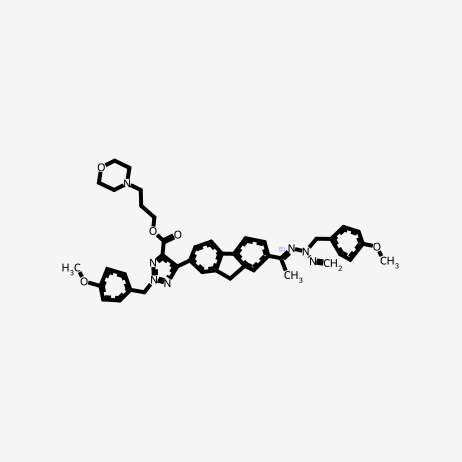 C=NN(Cc1ccc(OC)cc1)/N=C(\C)c1ccc2c(c1)Cc1cc(-c3nn(Cc4ccc(OC)cc4)nc3C(=O)OCCCN3CCOCC3)ccc1-2